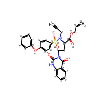 C#CCN(C(CCn1c(=O)[nH]c2ccccc2c1=O)C(=O)OCC=C)S(=O)(=O)c1ccc(Oc2ccccc2)cc1